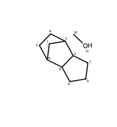 C1CC2C3CCC(C3)C2C1.CO